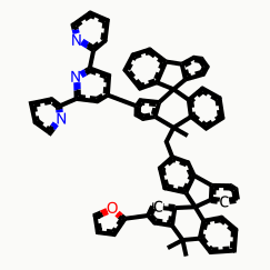 CC1(C)c2ccccc2C2(c3ccccc3-c3cc(CC4(C)c5ccccc5C5(c6ccccc6-c6ccccc65)c5cc(-c6cc(-c7ccccn7)nc(-c7ccccn7)c6)ccc54)ccc32)c2ccc(-c3ccco3)cc21